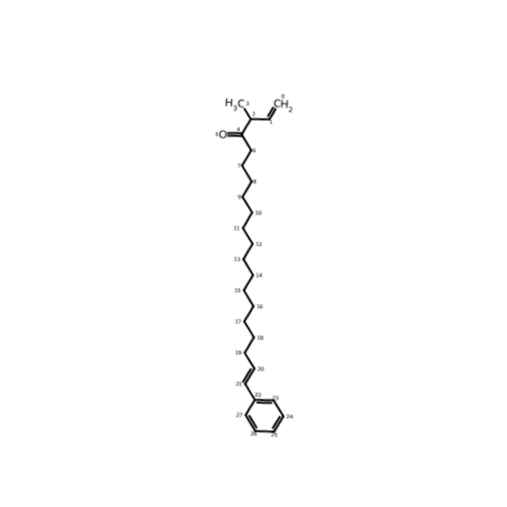 C=CC(C)C(=O)CCCCCCCCCCCCCCC=Cc1ccccc1